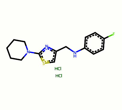 Cl.Cl.Fc1ccc(NCc2csc(N3CCCCC3)n2)cc1